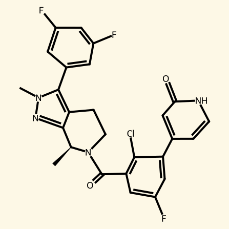 C[C@H]1c2nn(C)c(-c3cc(F)cc(F)c3)c2CCN1C(=O)c1cc(F)cc(-c2cc[nH]c(=O)c2)c1Cl